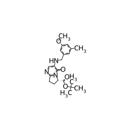 COc1cc(C)cc(CNc2cnc3n(c2=O)[C@H](C(=O)OC(C)(C)C)CC3)c1